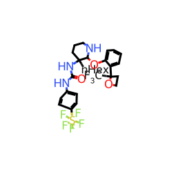 CCCCCCC1(NC(=O)Nc2ccc(S(F)(F)(F)(F)F)cc2)CCCNC1Oc1ccccc1C1(C(F)(F)F)CCO1